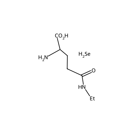 CCNC(=O)CCC(N)C(=O)O.[SeH2]